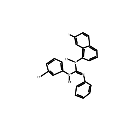 CCc1cccc(N(CC)C(=Nc2ccccc2)N(CC)c2cccc3ccc(F)cc23)c1